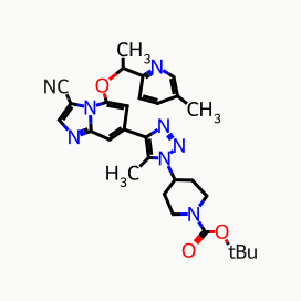 Cc1ccc(C(C)Oc2cc(-c3nnn(C4CCN(C(=O)OC(C)(C)C)CC4)c3C)cc3ncc(C#N)n23)nc1